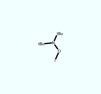 CC(C)(C)N(OI)C(C)(C)C